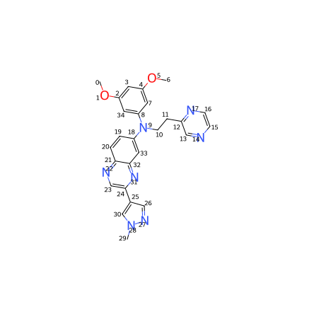 COc1cc(OC)cc(N(CCc2cnccn2)c2ccc3ncc(-c4cnn(C)c4)nc3c2)c1